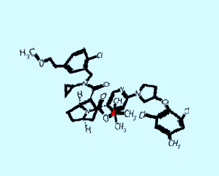 COCCc1ccc(Cl)c(CN(C(=O)[C@H]2[C@H](c3ccc(N4CCC(Oc5c(Cl)cc(C)cc5Cl)C4)nc3)C[C@H]3CC[C@@H]2N3C(=O)OC(C)(C)C)C2CC2)c1